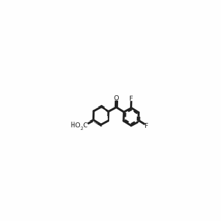 O=C(O)C1CCC(C(=O)c2ccc(F)cc2F)CC1